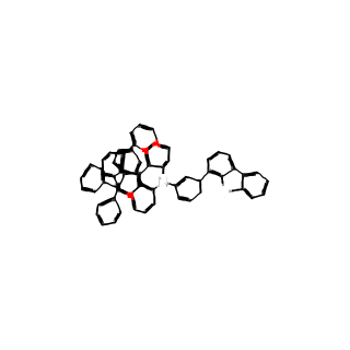 C1=CC(N(c2ccccc2-c2cccc3cccc(-c4ccccc4)c23)c2cccc3c2-c2ccccc2C3(c2ccccc2)c2ccccc2)=CC(c2cccc3c2oc2ccccc23)C1